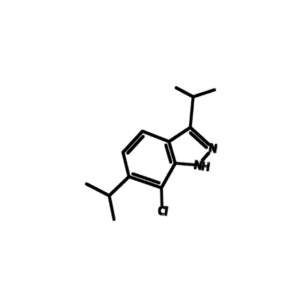 CC(C)c1ccc2c(C(C)C)n[nH]c2c1Cl